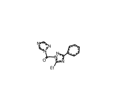 CCc1nc(-c2ccccc2)nn1C(=O)n1cncn1